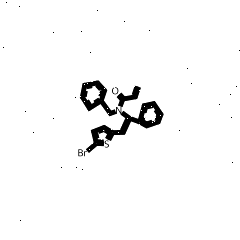 C=CC(=O)N(Cc1ccccc1)/C(=C\c1ccc(Br)s1)c1ccccc1